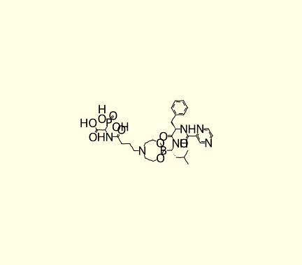 CC(C)C[C@@H](NC(=O)[C@@H](Cc1ccccc1)NC(=O)c1cnccn1)B1OCCN(CCCC(=O)NC(C(=O)O)P(=O)(O)O)CCO1